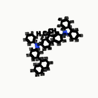 CC1(C)c2cc(N(c3ccccc3)c3cccc(-c4cccc5ccccc45)c3)ccc2-c2ccc(-n3c4ccccc4c4ccccc43)cc21